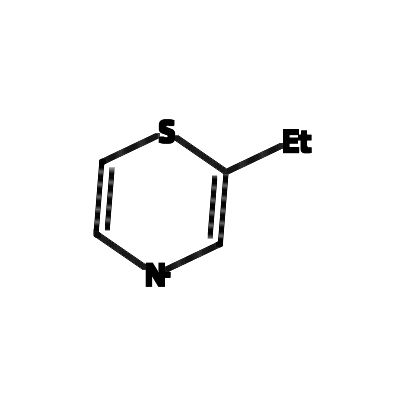 CCC1=C[N]C=CS1